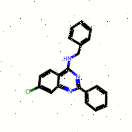 Clc1ccc2c(NCc3ccccc3)nc(-c3ccccc3)nc2c1